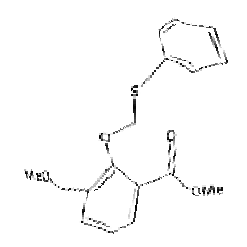 COC(=O)c1cccc(OC)c1OCSc1ccccc1